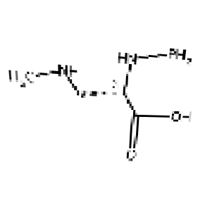 CNC[C@H](NP)C(=O)O